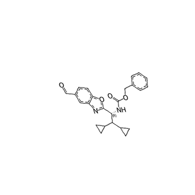 O=Cc1ccc2oc([C@H](NC(=O)OCc3ccccc3)C(C3CC3)C3CC3)nc2c1